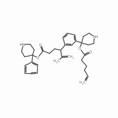 C=CCCCC(=O)OC1(c2cccc(C(CCC(=O)OC3(c4ccccc4)CCNCC3)C(=C)C)c2)CCNCC1